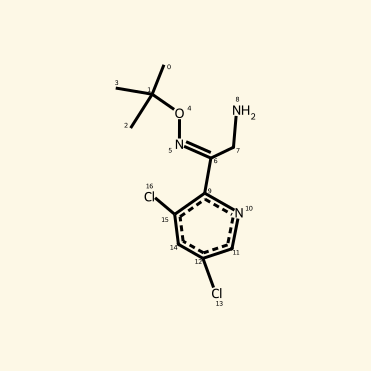 CC(C)(C)ON=C(CN)c1ncc(Cl)cc1Cl